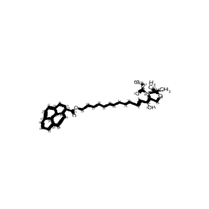 CC(C)(C)OC(=O)N1C([C@H](O)C=CCCCCCCCCCCOC(=O)c2ccc3ccc4cccc5ccc2c3c45)COC1(C)C